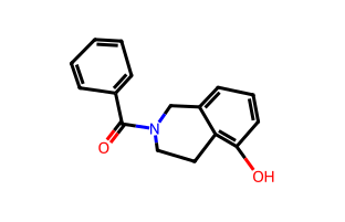 O=C(c1ccccc1)N1CCc2c(O)cccc2C1